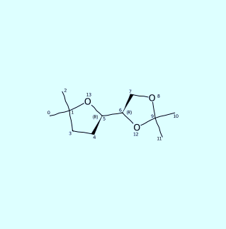 CC1(C)CC[C@H]([C@H]2COC(C)(C)O2)O1